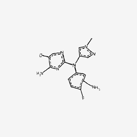 Cn1cc(N(c2ccc(F)c(N)c2)c2ncc(Cl)c(N)n2)cn1